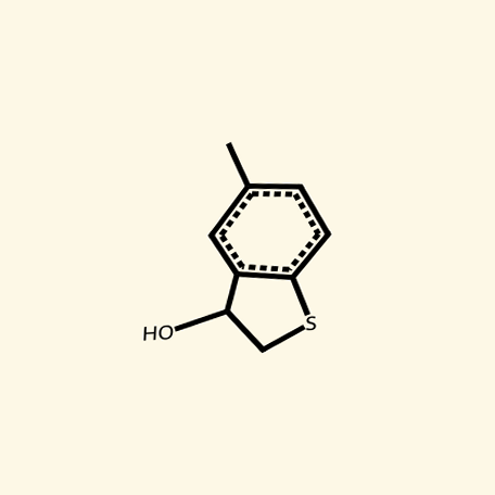 Cc1ccc2c(c1)C(O)CS2